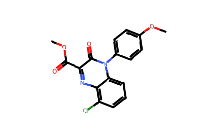 COC(=O)c1nc2c(Cl)cccc2n(-c2ccc(OC)cc2)c1=O